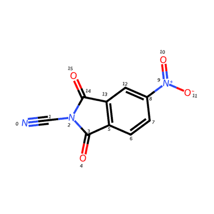 N#CN1C(=O)c2ccc([N+](=O)[O-])cc2C1=O